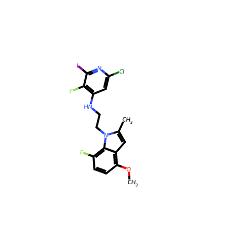 COc1ccc(F)c2c1cc(C)n2CCNc1cc(Cl)nc(I)c1F